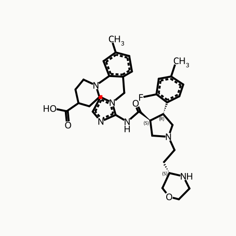 Cc1ccc([C@@H]2CN(CC[C@H]3COCCN3)C[C@H]2C(=O)Nc2nccn2Cc2ccc(C)cc2N2CCC(C(=O)O)CC2)c(F)c1